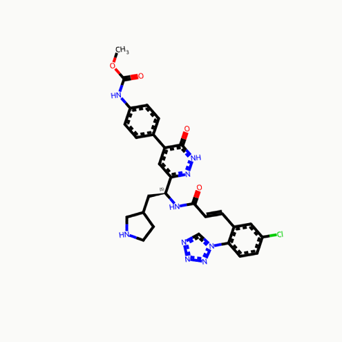 COC(=O)Nc1ccc(-c2cc([C@H](CC3CCNC3)NC(=O)C=Cc3cc(Cl)ccc3-n3cnnn3)n[nH]c2=O)cc1